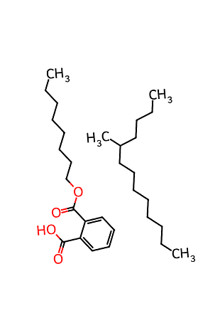 CCCCCCCCC(C)CCCC.CCCCCCCCOC(=O)c1ccccc1C(=O)O